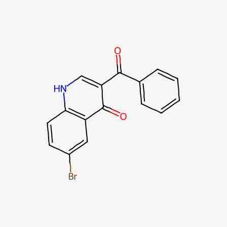 O=C(c1ccccc1)c1c[nH]c2ccc(Br)cc2c1=O